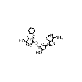 CC(C(=O)O)N(Oc1ccccc1)[PH](=O)OC[C@H]1O[C@@H](n2cnc3c(N)ncnc32)C[C@@H]1O